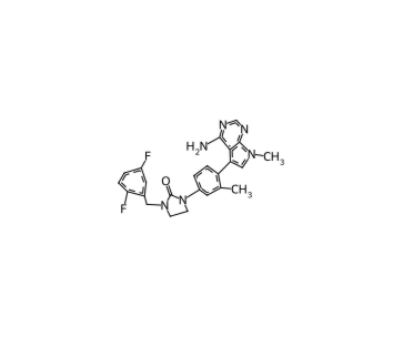 Cc1cc(N2CCN(Cc3cc(F)ccc3F)C2=O)ccc1-c1cn(C)c2ncnc(N)c12